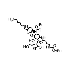 CC[C@@H](O)[C@H](OCCO)O[C@@H]1[C@@H](O)[C@H](O[C@@H]2CCC=C(CNCCCCN)O2)[C@@H](NC(=O)OC(C)(C)C)C[C@H]1NC(=O)CCCNC(=O)OC(C)(C)C